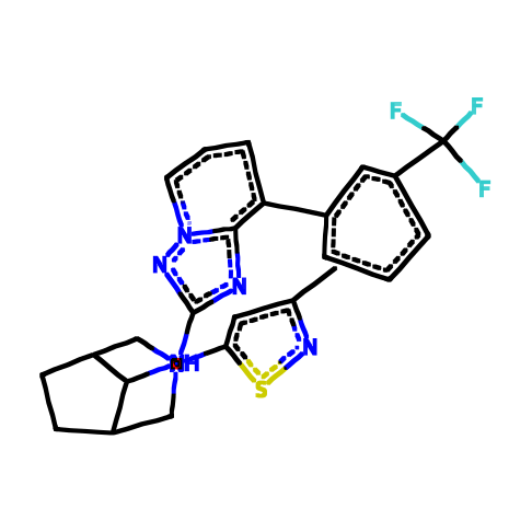 Cc1cc(N2CC3CCC(C2)C3Nc2nc3c(-c4cccc(C(F)(F)F)c4)cccn3n2)sn1